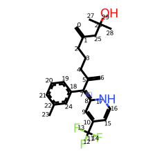 C=C(CCCC(=C)/C(=C1/C=C(C(F)(F)F)C=CN1)c1cccc(C)c1)CC(C)(C)O